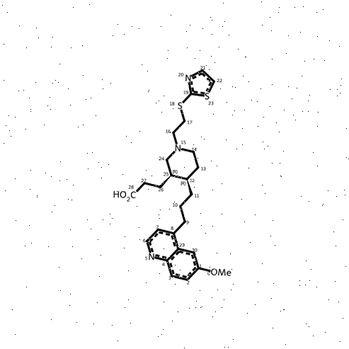 COc1ccc2nccc(CCC[C@@H]3CCN(CCSc4nccs4)C[C@@H]3CCC(=O)O)c2c1